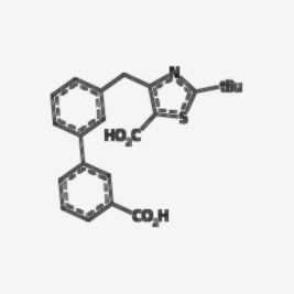 CC(C)(C)c1nc(Cc2cccc(-c3cccc(C(=O)O)c3)c2)c(C(=O)O)s1